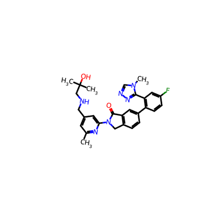 Cc1cc(CNCC(C)(C)O)cc(N2Cc3ccc(-c4ccc(F)cc4-c4nncn4C)cc3C2=O)n1